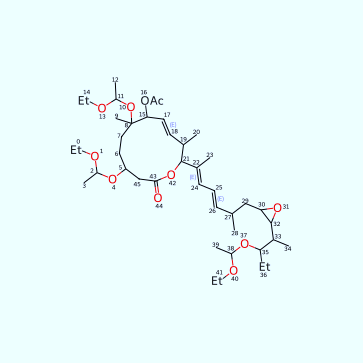 CCOC(C)OC1CCC(C)(OC(C)OCC)C(OC(C)=O)/C=C/C(C)C(/C(C)=C/C=C/C(C)CC2OC2C(C)C(CC)OC(C)OCC)OC(=O)C1